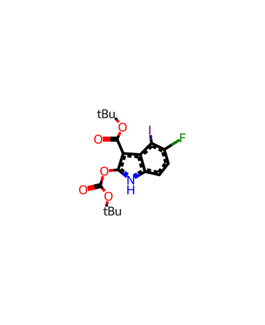 CC(C)(C)OC(=O)Oc1[nH]c2ccc(F)c(I)c2c1C(=O)OC(C)(C)C